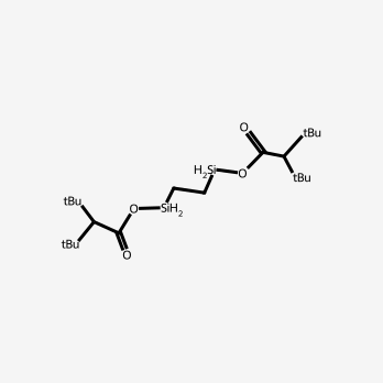 CC(C)(C)C(C(=O)O[SiH2]CC[SiH2]OC(=O)C(C(C)(C)C)C(C)(C)C)C(C)(C)C